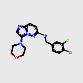 Clc1ccc(CNc2ccc3ncc(N4CCOCC4)n3n2)cc1Cl